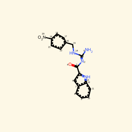 NC(=NC(=O)c1cc2ccccc2[nH]1)NCc1ccc([N+](=O)[O-])cc1